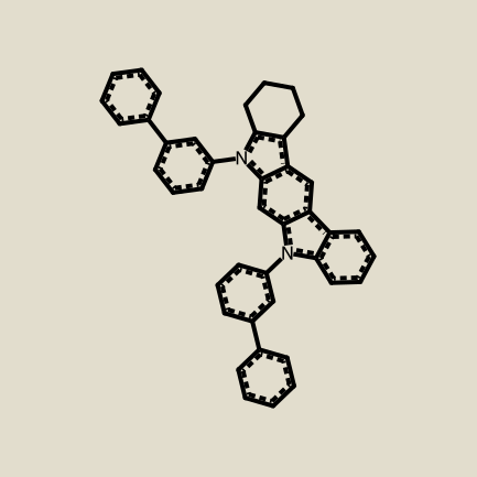 c1ccc(-c2cccc(-n3c4c(c5cc6c7ccccc7n(-c7cccc(-c8ccccc8)c7)c6cc53)CCCC4)c2)cc1